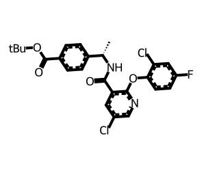 C[C@H](NC(=O)c1cc(Cl)cnc1Oc1ccc(F)cc1Cl)c1ccc(C(=O)OC(C)(C)C)cc1